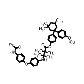 CCC(C)Oc1ccc(C2(c3ccc(OC(=O)C(C)(C)C(C)(C)Nc4ccc(Oc5ccc(NC(=O)C(C)C)cc5)cc4)cc3)CC(C)CC(C)(C)C2)cc1